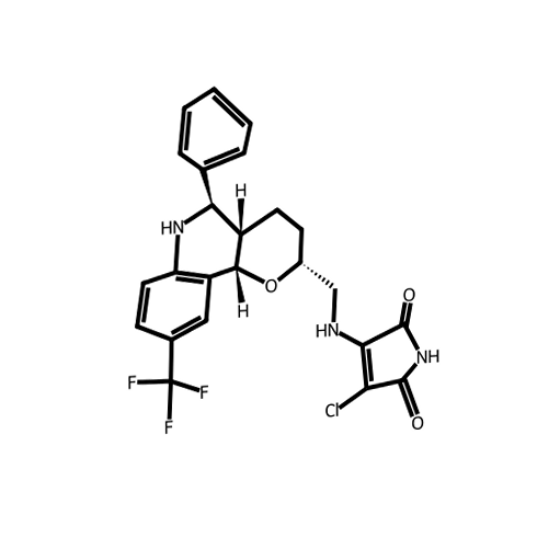 O=C1NC(=O)C(NC[C@H]2CC[C@@H]3[C@H](O2)c2cc(C(F)(F)F)ccc2N[C@H]3c2ccccc2)=C1Cl